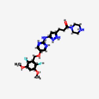 COc1cc(OC)c(F)c(COc2cnc(Nc3cc(CCC(=O)N4CCNCC4)[nH]n3)nc2)c1F